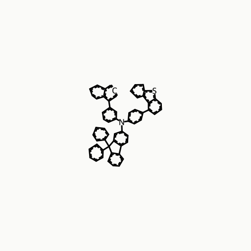 c1ccc(C2(c3ccccc3)c3ccccc3-c3ccc(N(c4ccc(-c5cccc6sc7ccccc7c56)cc4)c4cccc(-c5cccc6ccccc56)c4)cc32)cc1